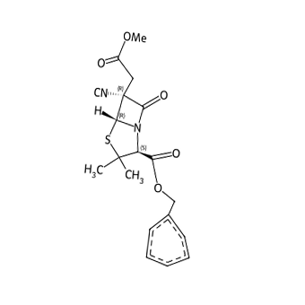 [C-]#[N+][C@]1(CC(=O)OC)C(=O)N2[C@@H](C(=O)OCc3ccccc3)C(C)(C)S[C@@H]21